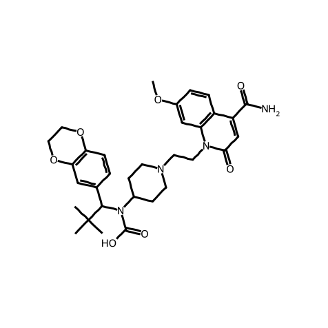 COc1ccc2c(C(N)=O)cc(=O)n(CCN3CCC(N(C(=O)O)C(c4ccc5c(c4)OCCO5)C(C)(C)C)CC3)c2c1